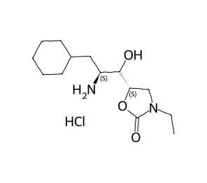 CCN1C[C@@H](C(O)[C@@H](N)CC2CCCCC2)OC1=O.Cl